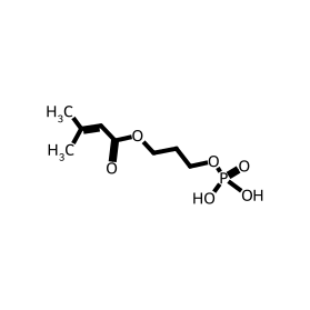 CC(C)=CC(=O)OCCCOP(=O)(O)O